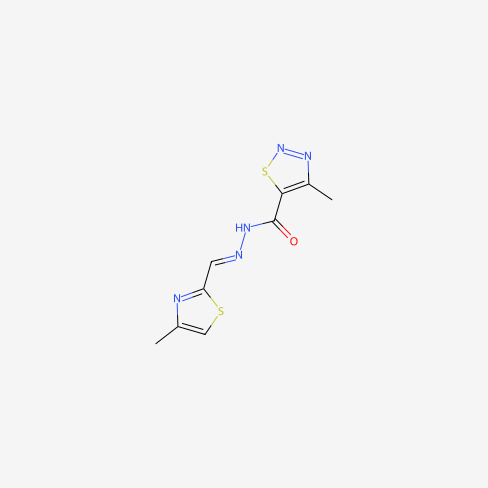 Cc1csc(C=NNC(=O)c2snnc2C)n1